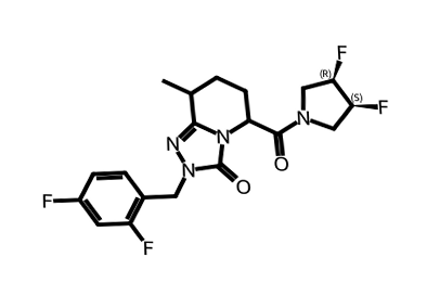 CC1CCC(C(=O)N2C[C@@H](F)[C@@H](F)C2)n2c1nn(Cc1ccc(F)cc1F)c2=O